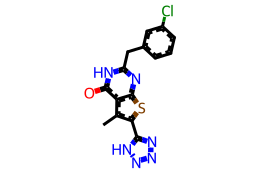 Cc1c(-c2nnn[nH]2)sc2nc(Cc3cccc(Cl)c3)[nH]c(=O)c12